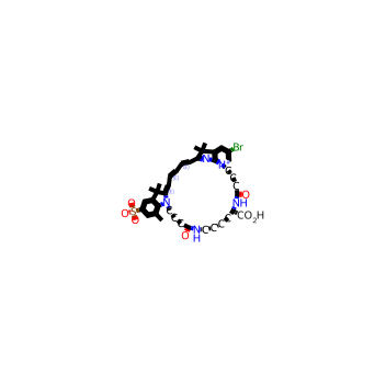 Cc1cc(S(=O)(=O)[O-])cc2c1N1CCCC(=O)NCCCCC(C(=O)O)NC(=O)CCC[n+]3cc(Br)cc4c3N=C(/C=C/C=C/C=C/1C2(C)C)C4(C)C